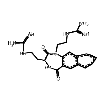 N=C(N)NCCC1NC(=O)c2cc3ccccc3cc2N(CCNC(=N)N)C1=O